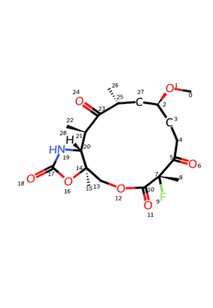 CO[C@H]1CCC(=O)[C@](C)(F)C(=O)OC[C@@]2(C)OC(=O)N[C@@H]2[C@@H](C)C(=O)[C@H](C)C1